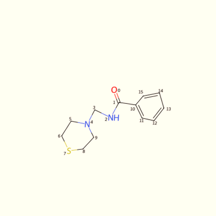 O=C(NCN1CCSCC1)c1ccccc1